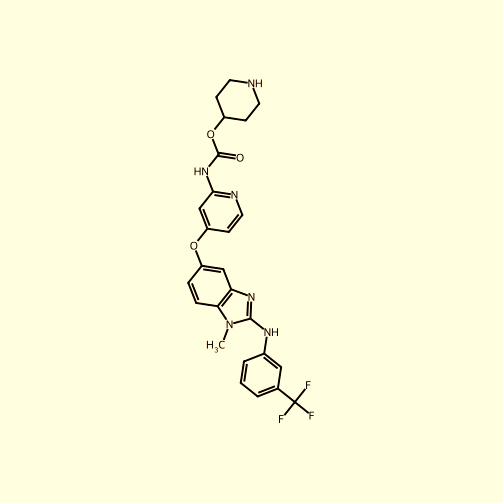 Cn1c(Nc2cccc(C(F)(F)F)c2)nc2cc(Oc3ccnc(NC(=O)OC4CCNCC4)c3)ccc21